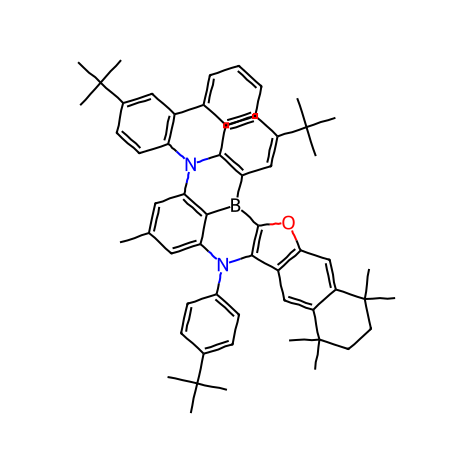 Cc1cc2c3c(c1)N(c1ccc(C(C)(C)C)cc1)c1c(oc4cc5c(cc14)C(C)(C)CCC5(C)C)B3c1cc(C(C)(C)C)ccc1N2c1ccc(C(C)(C)C)cc1-c1ccccc1